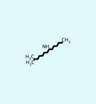 CCCCCCCCCCCCC(C)C.N